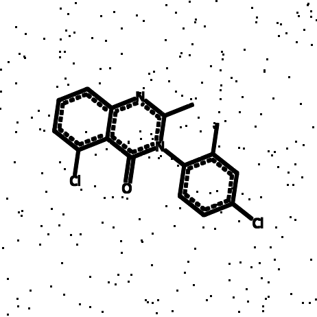 Cc1cc(Cl)ccc1-n1c(C)nc2cccc(Cl)c2c1=O